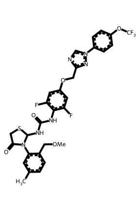 COCc1ccc(C)cc1N1C(=O)CSC1NC(=O)Nc1c(F)cc(OCc2ncn(-c3ccc(OC(F)(F)F)cc3)n2)cc1F